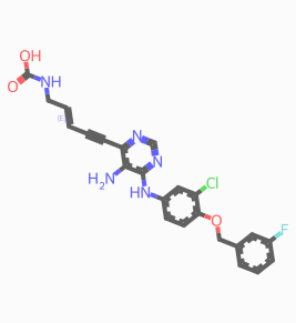 Nc1c(C#C/C=C/CNC(=O)O)ncnc1Nc1ccc(OCc2cccc(F)c2)c(Cl)c1